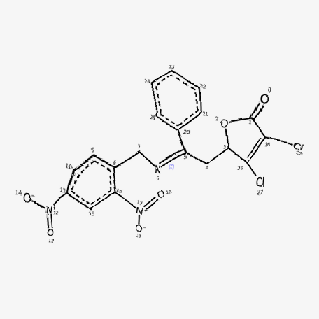 O=C1OC(C/C(=N/Cc2ccc([N+](=O)[O-])cc2[N+](=O)[O-])c2ccccc2)C(Cl)=C1Cl